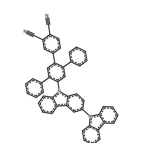 N#Cc1ccc(-c2cc(-c3ccccc3)c(-n3c4ccccc4c4cc(-n5c6ccccc6c6ccccc65)ccc43)cc2-c2ccccc2)cc1C#N